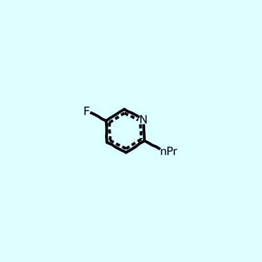 CCCc1ccc(F)cn1